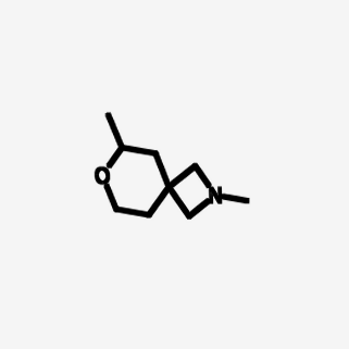 CC1CC2(CCO1)CN(C)C2